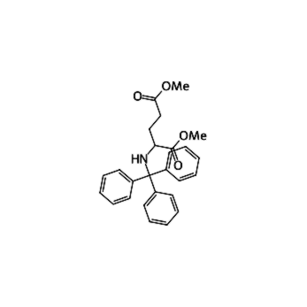 COC(=O)CCC(NC(c1ccccc1)(c1ccccc1)c1ccccc1)C(=O)OC